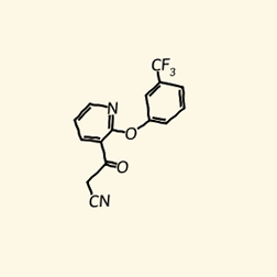 N#CCC(=O)c1cccnc1Oc1cccc(C(F)(F)F)c1